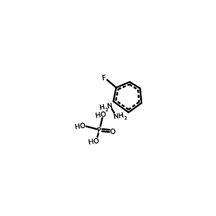 Fc1ccccc1.NN.O=P(O)(O)O